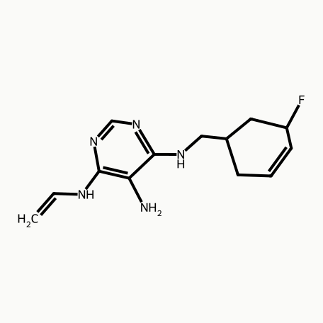 C=CNc1ncnc(NCC2CC=CC(F)C2)c1N